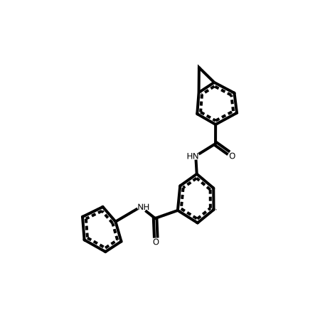 O=C(Nc1ccccc1)c1c[c]cc(NC(=O)c2ccc3c(c2)C3)c1